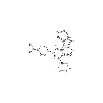 CCC(=O)N1CCN(c2cc(N3CCOCC3)nc(-n3c(CO)nc4ccccc43)n2)CC1